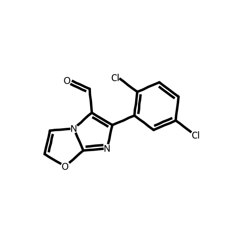 O=Cc1c(-c2cc(Cl)ccc2Cl)nc2occn12